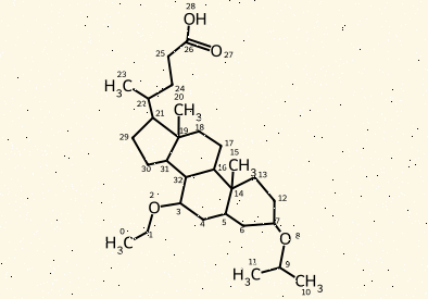 CCOC1CC2CC(OC(C)C)CCC2(C)C2CCC3(C)C(C(C)CCC(=O)O)CCC3C12